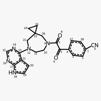 N#Cc1ccc(C(=O)C(=O)N2CCN(c3ncnc4[nH]ccc34)CC3(CC3)C2)cc1